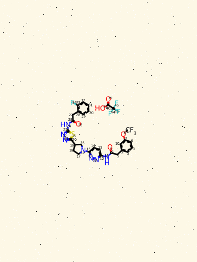 O=C(Cc1cccc(OC(F)(F)F)c1)Nc1ccc(N2CCC(c3nnc(NC(=O)Cc4ccccc4F)s3)C2)nn1.O=C(O)C(F)(F)F